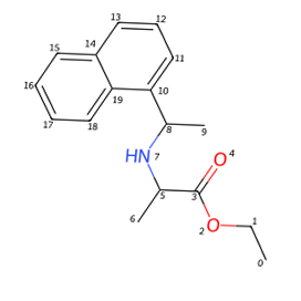 CCOC(=O)C(C)NC(C)c1cccc2ccccc12